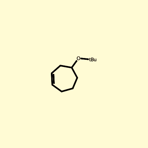 CC(C)(C)OC1CC=CCCC1